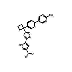 Nc1ncc(-c2ccc(C3(c4noc(-c5cc([N+](=O)[O-])n[nH]5)n4)CCC3)cn2)cn1